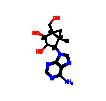 Nc1ncnc2c1ncn2[C@H]1C(O)[C@@H](O)[C@]2(CO)C[C@H]12